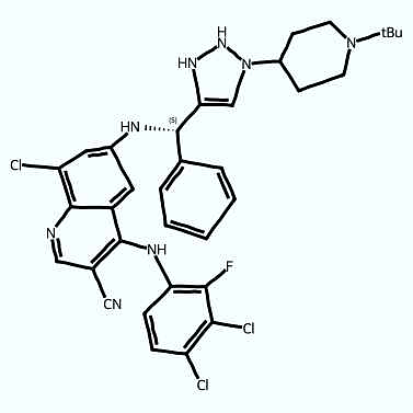 CC(C)(C)N1CCC(N2C=C([C@@H](Nc3cc(Cl)c4ncc(C#N)c(Nc5ccc(Cl)c(Cl)c5F)c4c3)c3ccccc3)NN2)CC1